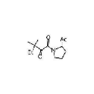 CCC(C)(C)C(=O)C(=O)N1CCC[C@H]1C(C)=O